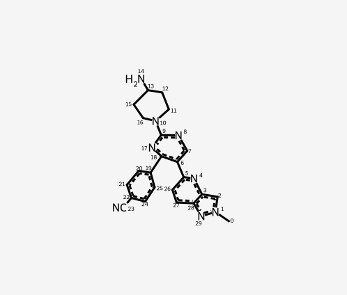 Cn1cc2nc(-c3cnc(N4CCC(N)CC4)nc3-c3ccc(C#N)cc3)ccc2n1